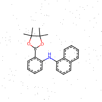 CC1(C)OB(c2ccccc2Nc2cccc3ccccc23)OC1(C)C